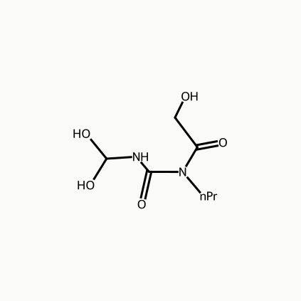 CCCN(C(=O)CO)C(=O)NC(O)O